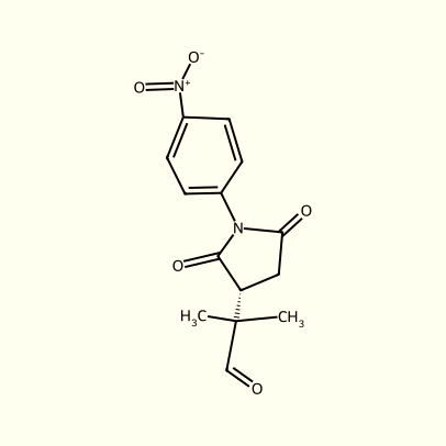 CC(C)(C=O)[C@H]1CC(=O)N(c2ccc([N+](=O)[O-])cc2)C1=O